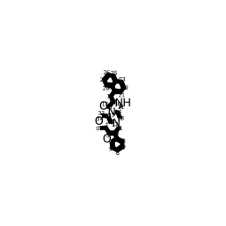 CCc1oc2ccccc2c1CN1CCN(C(=O)C(Cc2cccc3ccccc23)NC)C(C=O)C1